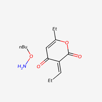 CCC=C1C(=O)C=C(CC)OC1=O.CCCCON